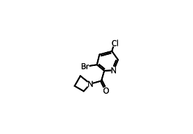 O=C(c1ncc(Cl)cc1Br)N1CCC1